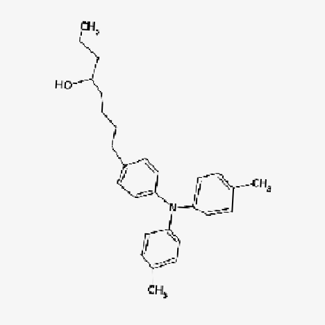 CCCC(O)CCCCc1ccc(N(c2ccc(C)cc2)c2ccc(C)cc2)cc1